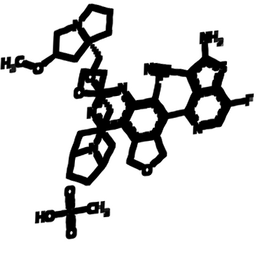 CO[C@H]1CN2CCC[C@@]2(COc2nc(N3C4CCC3CN(C[C@H]3CCO3)C4)c3c4c(c(-c5ncc(F)c6sc(N)c(C#N)c56)c(F)c3n2)COC4)C1.CS(=O)(=O)O